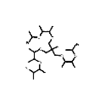 [3H]C(C)C(C)OC(C)C(C)OCC(C)(COC(C)C(C)OC(C)C(C)C)COC(C)C(C)OC(C)C(C)C